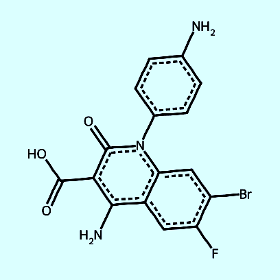 Nc1ccc(-n2c(=O)c(C(=O)O)c(N)c3cc(F)c(Br)cc32)cc1